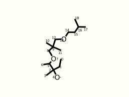 CCC(C)([O])C(C)OCC(C)(C)COCCC(C)C